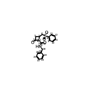 O=C1CC(CS(=O)(=O)c2ccccc2)N1C(=O)NCc1ccccc1